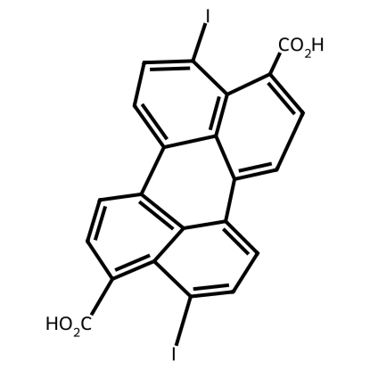 O=C(O)c1ccc2c3ccc(I)c4c(C(=O)O)ccc(c5ccc(I)c1c52)c43